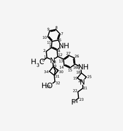 CC1Cc2c([nH]c3ccccc23)C(c2ccc(NC3CN(CCCF)C3)cc2)N1C12CC(CO)(C1)C2